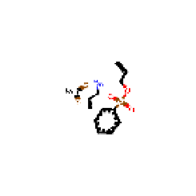 C=CCN.C=CCOS(=O)(=O)c1ccccc1.[S]=[Mo]=[S]